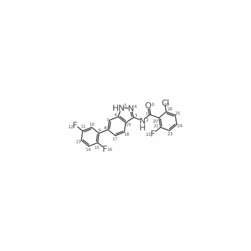 O=C(Nc1n[nH]c2cc(-c3cc(F)ccc3F)ccc12)c1c(F)cccc1Cl